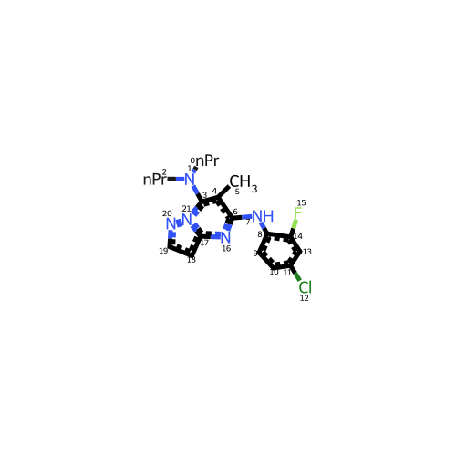 CCCN(CCC)c1c(C)c(Nc2ccc(Cl)cc2F)nc2ccnn12